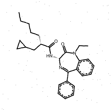 CCCCC[C@@H](CC1CC1)C(=O)N[C@H]1N=C(c2ccccc2)c2ccccc2N(CC)C1=O